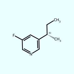 CC[C@H](C)c1cncc(F)c1